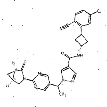 CC(c1cnc(N2C[C@H]3C[C@H]3C2=O)nc1)n1cc(C(=O)N[C@H]2C[C@@H](c3cc(Cl)ccc3C#N)C2)cn1